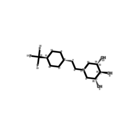 O[C@H]1[C@H](O)CN(CC[C@H]2CC[C@H](C(F)(F)F)CC2)C[C@@H]1O